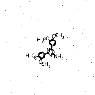 COc1ccc(-c2nc(N)nc(-c3ccc(OC)c(OC)c3)n2)cc1OC